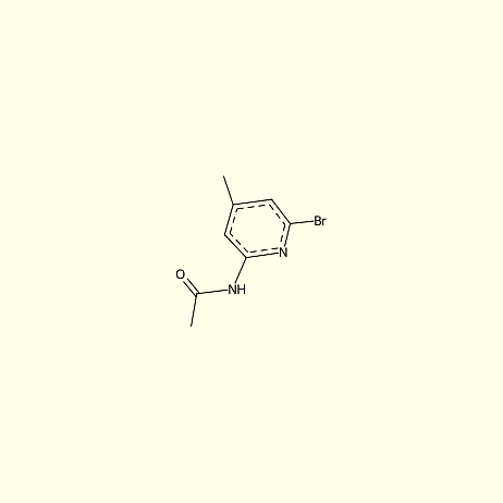 CC(=O)Nc1cc(C)cc(Br)n1